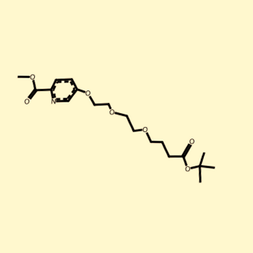 COC(=O)c1ccc(OCCOCCOCCCC(=O)OC(C)(C)C)cn1